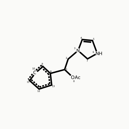 CC(=O)OC(CN1C=CNC1)c1ccccc1